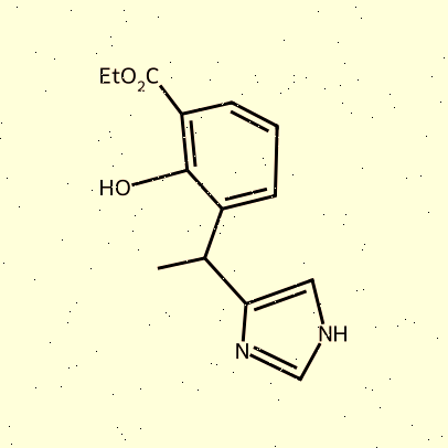 CCOC(=O)c1cccc(C(C)c2c[nH]cn2)c1O